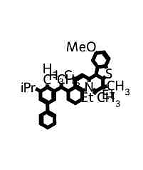 CCC1(C)C2SC3C=CC(OC)CC3C2C2C=C(C)C3=C(CCCC3C(C)C3=CC(C4=CCCC=C4)=CC(C(C)C)C3C)N2C1(C)CC